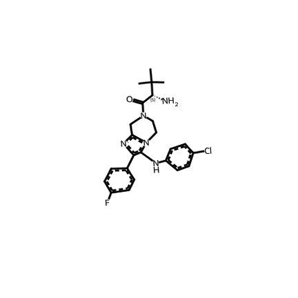 CC(C)(C)[C@H](N)C(=O)N1CCn2c(nc(-c3ccc(F)cc3)c2Nc2ccc(Cl)cc2)C1